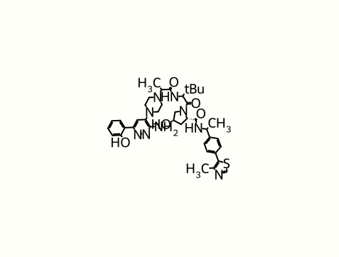 Cc1ncsc1-c1ccc(C(C)NC(=O)[C@@H]2C[C@@H](O)CN2C(=O)C(NC(=O)C(C)N2CCN(c3cc(-c4ccccc4O)nnc3N)CC2)C(C)(C)C)cc1